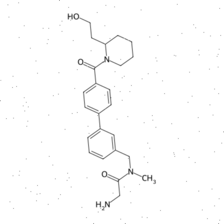 CN(Cc1cccc(-c2ccc(C(=O)N3CCCCC3CCO)cc2)c1)C(=O)CN